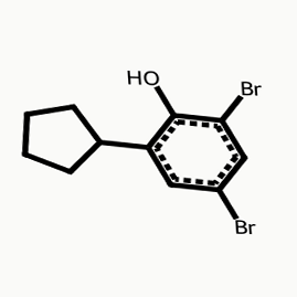 Oc1c(Br)cc(Br)cc1C1CCCC1